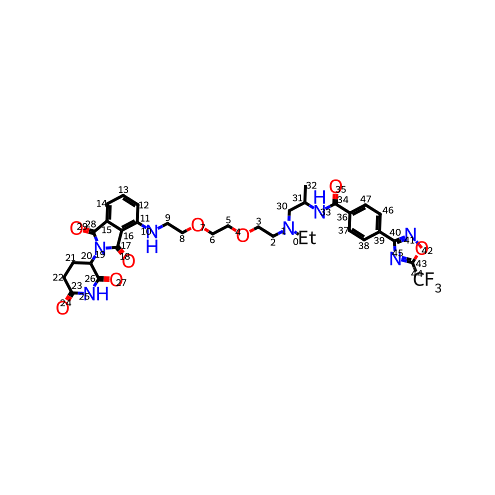 CCN(CCOCCOCCNc1cccc2c1C(=O)N(C1CCC(=O)NC1=O)C2=O)CC(C)NC(=O)c1ccc(-c2noc(C(F)(F)F)n2)cc1